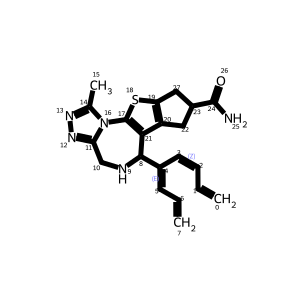 C=C/C=C\C(=C/C=C)C1NCc2nnc(C)n2-c2sc3c(c21)CC(C(N)=O)C3